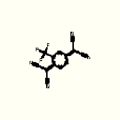 N#CC(C#N)=c1ccc(=C(C#N)C#N)c(C(F)(F)F)c1